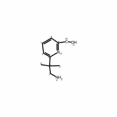 CC(C)(CN)c1cccc(CO)n1